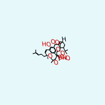 CC(C)=CCC[C@]1(C)C=Cc2c(O)c3c(c(C(O)C4OC4(C)C)c2O1)O[C@]12C(=C[C@@H]4CC1C(C)(C)OC2(C/C=C(/C)OC=O)C4=O)C3=O